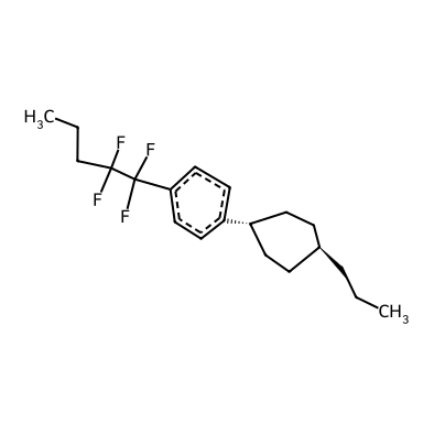 CCCC(F)(F)C(F)(F)c1ccc([C@H]2CC[C@H](CCC)CC2)cc1